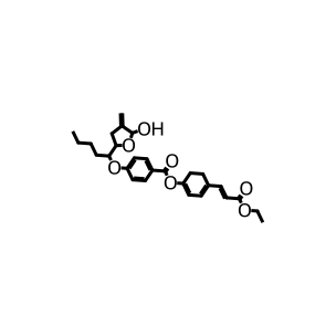 C=C1CC(C(CCCC)Oc2ccc(C(=O)OC3=CC=C(/C=C/C(=O)OCC)CC3)cc2)OC1O